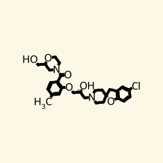 Cc1ccc(C(=O)N2CCOC(CO)C2)c(OC[C@@H](O)CN2CCC3(CC2)Cc2cc(Cl)ccc2O3)c1